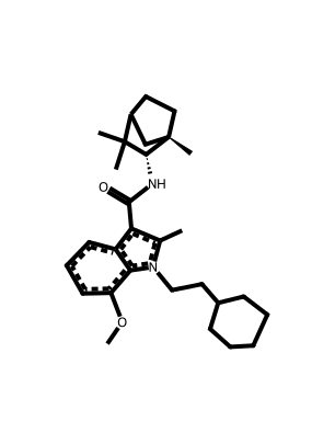 COc1cccc2c(C(=O)N[C@@H]3C(C)(C)C4CC[C@@]3(C)C4)c(C)n(CCC3CCCCC3)c12